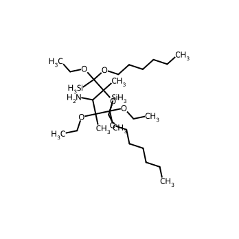 CCCCCCOC([SiH3])(OCC)C(C)(OCC)C(N)C(C)(OCC)C([SiH3])(OCC)OCCCCCC